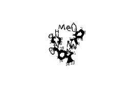 COc1cccc(-c2cnc(N3CC4(CC4)c4ccc(C(=O)N5CCNC(=O)C5)cc43)nc2)c1